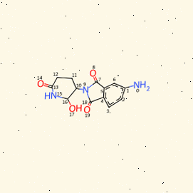 Nc1ccc2c(c1)C(=O)N(C1CCC(=O)NC1O)C2=O